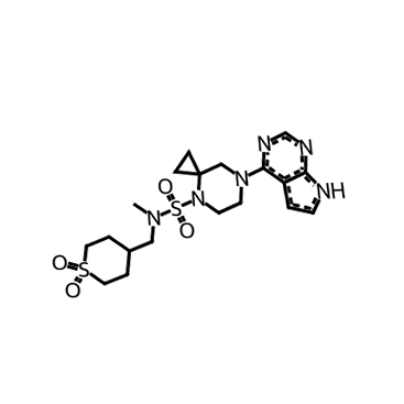 CN(CC1CCS(=O)(=O)CC1)S(=O)(=O)N1CCN(c2ncnc3[nH]ccc23)CC12CC2